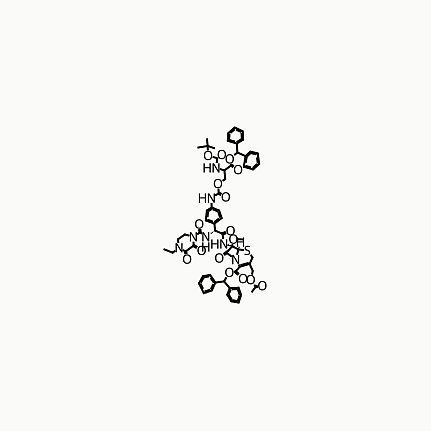 CCN1CCN(C(=O)N[C@@H](C(=O)N[C@]2(OC)C(=O)N3C(C(=O)OC(c4ccccc4)c4ccccc4)=C(COC(C)=O)CS[C@@H]32)c2ccc(NC(=O)OCC(NC(=O)OC(C)(C)C)C(=O)OC(c3ccccc3)c3ccccc3)cc2)C(=O)C1=O